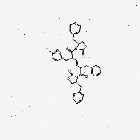 O=C1OC[C@H](Cc2ccccc2)N1C(=O)C(/C=C/C(Cc1ccc(F)cc1)C(=O)N1C(=O)OC[C@@H]1Cc1ccccc1)Cc1ccccc1